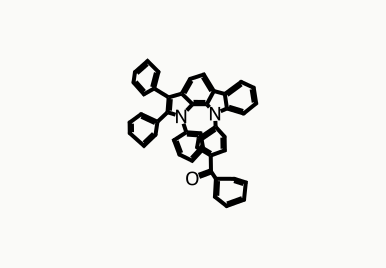 O=C(c1ccccc1)c1ccc(-n2c3ccccc3c3ccc4c(-c5ccccc5)c(-c5ccccc5)n(-c5ccccc5)c4c32)cc1